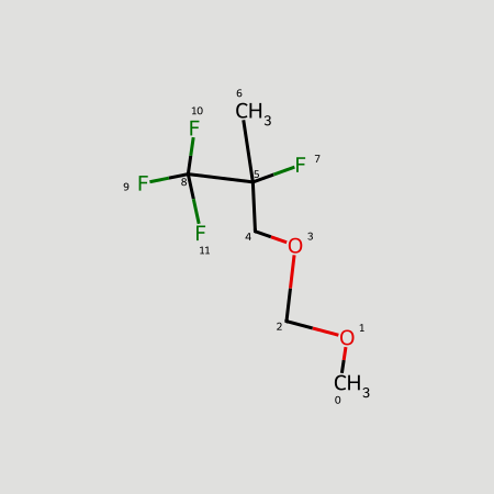 COCOCC(C)(F)C(F)(F)F